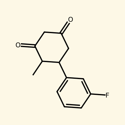 CC1C(=O)CC(=O)CC1c1cccc(F)c1